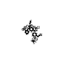 C=CCOC(=O)C1(Cc2ccccc2[N+](=O)[O-])CCc2c(nc(Cl)nc2N2CCN(C(=O)OC(C)(C)C)C(CC#N)C2)C1=O